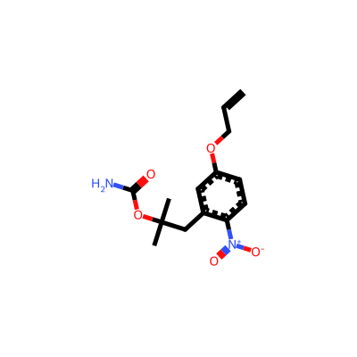 C=CCOc1ccc([N+](=O)[O-])c(CC(C)(C)OC(N)=O)c1